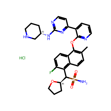 Cc1ccc2c(C([C@H]3CCCO3)S(N)(=O)=O)c(F)ccc2c1Oc1ncccc1-c1ccnc(N[C@H]2CCCNC2)n1.Cl